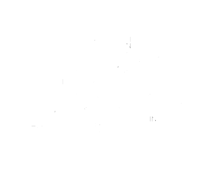 O=C1Nc2ccc(F)c3c(S(=O)(=O)CCO)cc(-c4ccc[nH]4)c1c23